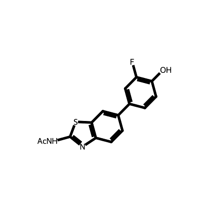 CC(=O)Nc1nc2ccc(-c3ccc(O)c(F)c3)cc2s1